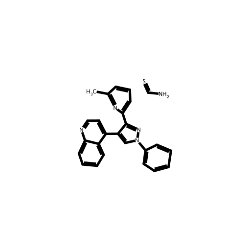 Cc1cccc(-c2nn(-c3ccccc3)cc2-c2ccnc3ccccc23)n1.NC=S